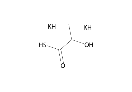 CC(O)C(=O)S.[KH].[KH]